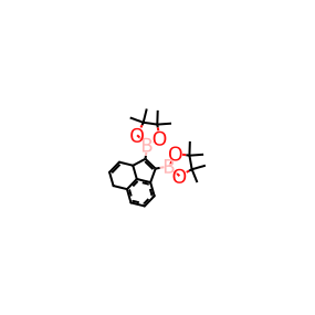 CC1(C)OB(C2=C(B3OC(C)(C)C(C)(C)O3)C3C=CCc4cccc2c43)OC1(C)C